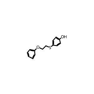 Oc1ccc(SCCOc2ccccc2)cc1